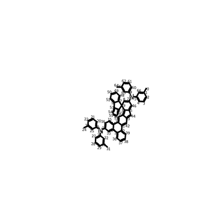 Cc1cccc(N(C2=CC3(C4=c5cc6c7ccc(N(c8cccc(C)c8)c8cccc(C)c8)cc7c7ccccc7c6cc5=CC4=C2)c2ccccc2-c2ccccc23)c2cccc(C)c2)c1